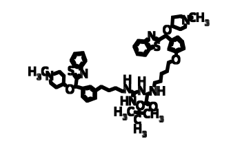 CN1CCC(OC(c2cccc(CCCCNC(=N)NC(NCCCCCOc3cccc(C(OC4CCN(C)CC4)c4nc5ccccc5s4)c3)C(=O)OC(C)(C)C)c2)c2nc3ccccc3s2)CC1